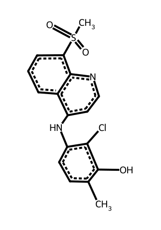 Cc1ccc(Nc2ccnc3c(S(C)(=O)=O)cccc23)c(Cl)c1O